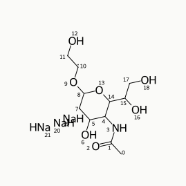 CC(=O)NC1C(O)CC(O[CH]CO)OC1C(O)CO.[NaH].[NaH].[NaH]